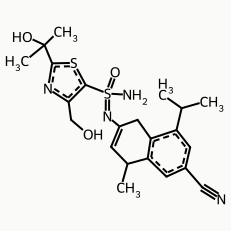 CC(C)c1cc(C#N)cc2c1CC(N=S(N)(=O)c1sc(C(C)(C)O)nc1CO)=CC2C